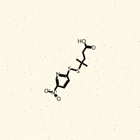 CC(C)(CCC(=O)O)SSc1ccc([N+](=O)[O-])cn1